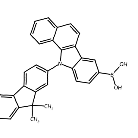 CC1(C)c2ccccc2-c2ccc(-n3c4ccc(B(O)O)cc4c4ccc5ccccc5c43)cc21